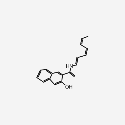 C=C(N/C=C/C=C\C=C/C)c1cc2ccccc2cc1O